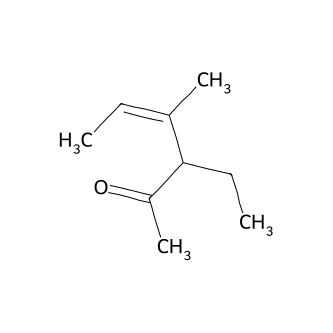 CC=C(C)C(CC)C(C)=O